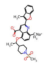 Cc1c(-c2cc(C(=O)[O-])c3c(O[C@H](C)C4CCN(S(C)(=O)=O)CC4)ccc(C)c3n2)oc2ccccc12.[Na+]